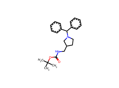 CC(C)(C)OC(=O)NCC1CCN(C(c2ccccc2)c2ccccc2)C1